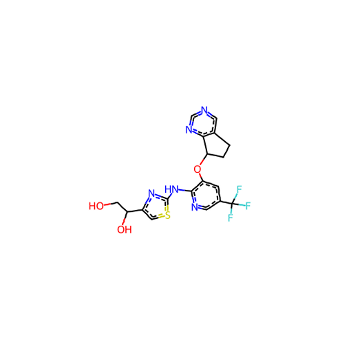 OCC(O)c1csc(Nc2ncc(C(F)(F)F)cc2OC2CCc3cncnc32)n1